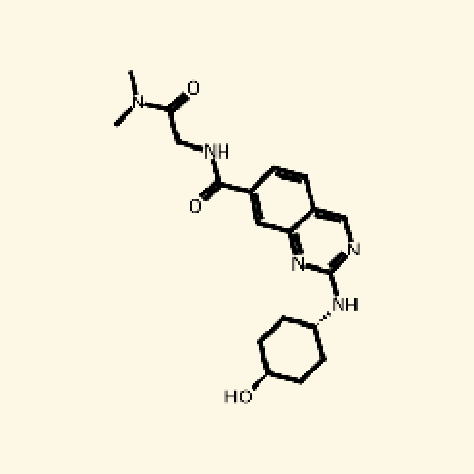 CN(C)C(=O)CNC(=O)c1ccc2cnc(N[C@H]3CC[C@H](O)CC3)nc2c1